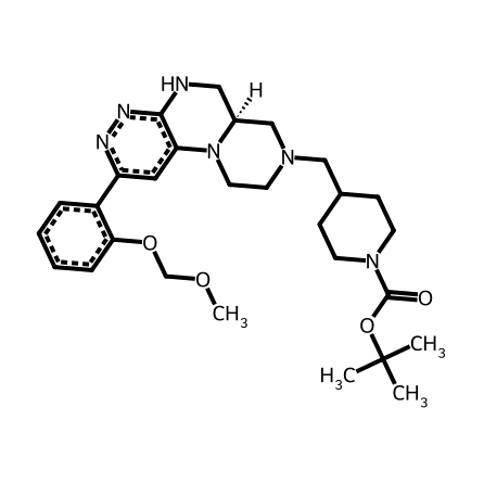 COCOc1ccccc1-c1cc2c(nn1)NC[C@H]1CN(CC3CCN(C(=O)OC(C)(C)C)CC3)CCN21